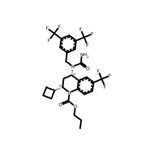 CCCOC(=O)N1c2ccc(C(F)(F)F)cc2[C@@H](N(Cc2cc(C(F)(F)F)cc(C(F)(F)F)c2)C(N)=O)C[C@H]1C1CCC1